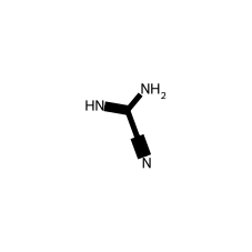 N#CC(=N)N